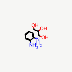 Nc1ccccc1N.OCC(O)CO